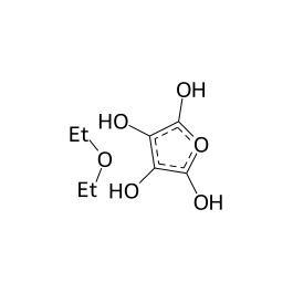 CCOCC.Oc1oc(O)c(O)c1O